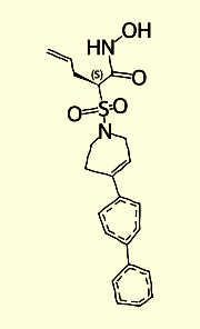 C=CC[C@@H](C(=O)NO)S(=O)(=O)N1CC=C(c2ccc(-c3ccccc3)cc2)CC1